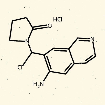 Cl.Nc1cc2ccncc2cc1C(Cl)N1CCCC1=O